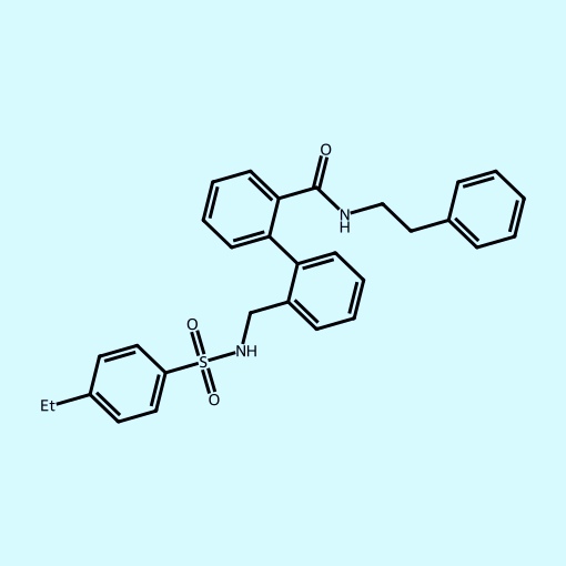 CCc1ccc(S(=O)(=O)NCc2ccccc2-c2ccccc2C(=O)NCCc2ccccc2)cc1